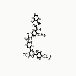 COc1cc(CC(=O)N(C)c2ccc(C(CC(=O)O)NC(=O)c3ccc(C(=O)O)cc3)cn2)ccc1NC(=O)Nc1ccccc1C